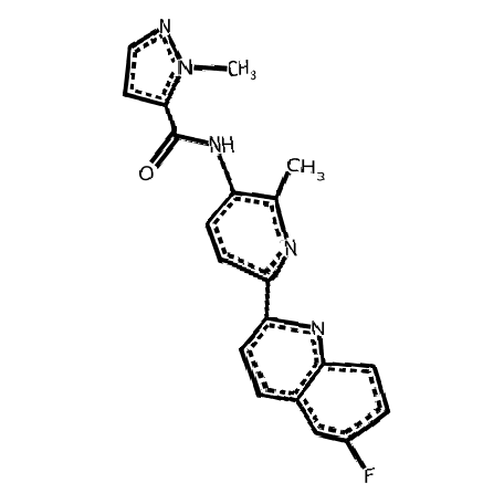 Cc1nc(-c2ccc3cc(F)ccc3n2)ccc1NC(=O)c1ccnn1C